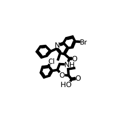 CCC(OC(CNC(=O)c1c(C)c(-c2ccccc2)nc2ccc(Br)cc12)c1ccccc1Cl)C(=O)O